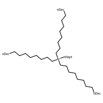 CCCCCCCCCCCCCCCCCC[N+](CCCCCCC)(CCCCCCCCCCCCCCCCCC)CCCCCCCCCCCCCCCCCC